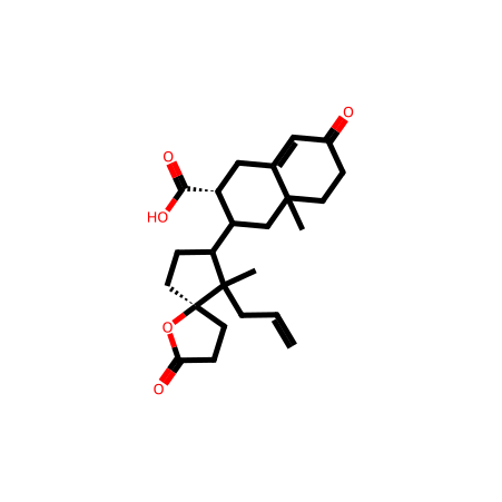 C=CCC1(C)C(C2CC3(C)CCC(=O)C=C3C[C@H]2C(=O)O)CC[C@@]12CCC(=O)O2